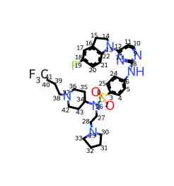 O=S(=O)(c1ccc(Nc2nccc(N3CCc4cc(F)ccc43)n2)cc1)N(CCN1CCCC1)C1CCN(CCCC(F)(F)F)CC1